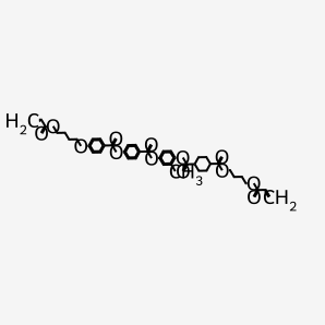 C=CC(=O)OCCCCOC(=O)C1CCC(C(=O)Oc2ccc(OC(=O)c3ccc(OC(=O)c4ccc(OCCCCOC(=O)C=C)cc4)cc3)cc2C)CC1